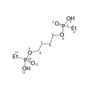 CCP(=O)(O)OCCCCOP(=O)(O)CC